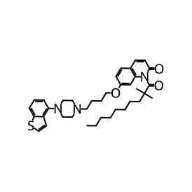 CCCCCCCCC(C)(C)C(=O)n1c(=O)ccc2ccc(OCCCCN3CCN(c4cccc5sccc45)CC3)cc21